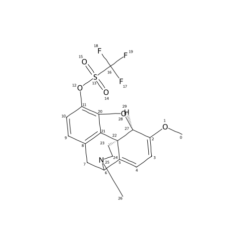 COC1=CC=C2C3Cc4ccc(OS(=O)(=O)C(F)(F)F)c5c4[C@@]2(CCN3C)[C@H]1O5